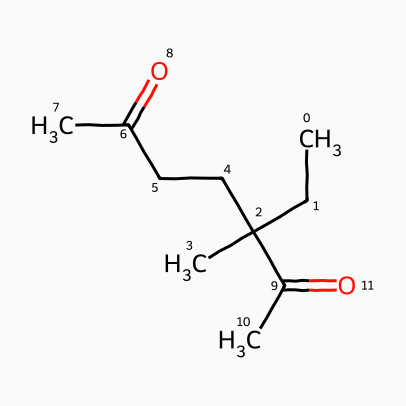 CCC(C)(CCC(C)=O)C(C)=O